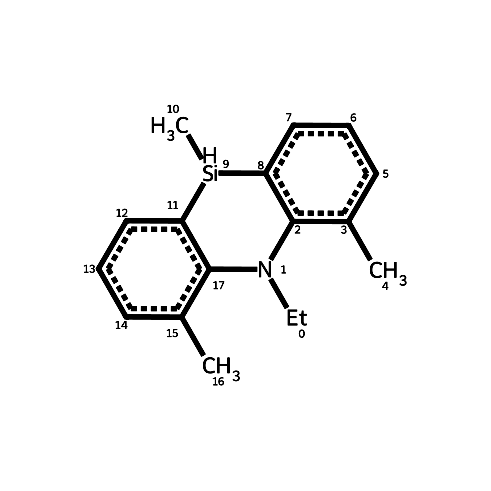 CCN1c2c(C)cccc2[SiH](C)c2cccc(C)c21